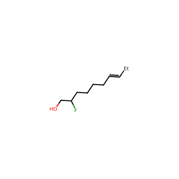 CCC=CCCCCC(F)CO